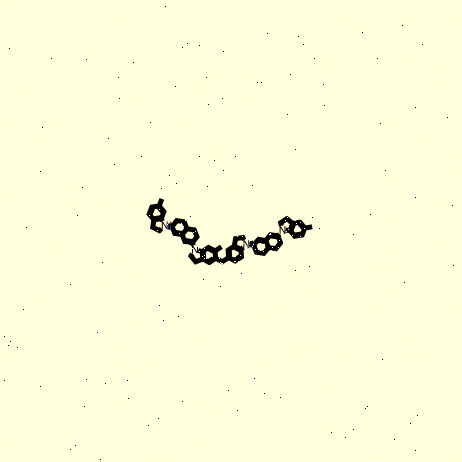 Cc1ccc2c(c1)CCN2C1=CC2=C/C(=[N+]3\CCc4cc(Cc5cc6c(cc5C)N(C5=CC7=C/C(=[N+]8\CCc9ccc(C)cc98)CCC7CC5)CC6)ccc43)CCC2CC1